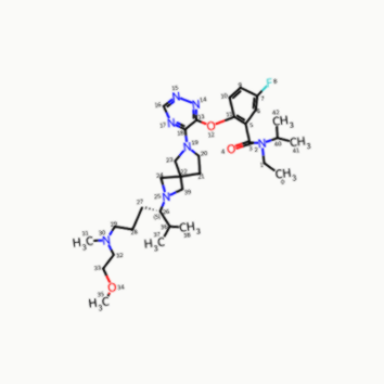 CCN(C(=O)c1cc(F)ccc1Oc1nncnc1N1CCC2(C1)CN([C@@H](CCCN(C)CCOC)C(C)C)C2)C(C)C